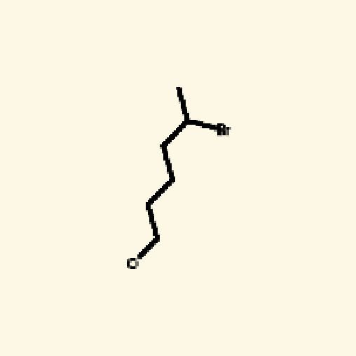 CC(Br)CCCC[O]